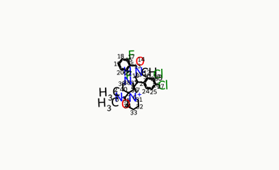 CN(C)C(=O)C1([N+]2(CCC(CN(C)C(=O)c3c(F)cccc3F)c3ccc(Cl)c(Cl)c3)CCCCC2)CCNCC1